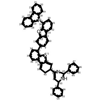 C1=C(C2C=c3sc4c(-c5ccc6c(c5)oc5c(-n7c8ccccc8c8ccccc87)cccc56)cccc4c3=CC2)NC(c2ccccc2)NC1c1ccccc1